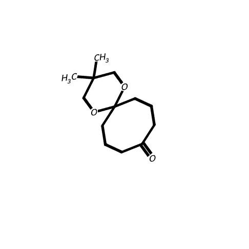 CC1(C)COC2(CCCC(=O)CCC2)OC1